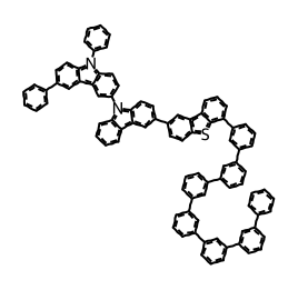 c1ccc(-c2cccc(-c3cccc(-c4cccc(-c5cccc(-c6cccc(-c7cccc(-c8cccc9c8sc8ccc(-c%10ccc%11c(c%10)c%10ccccc%10n%11-c%10ccc%11c(c%10)c%10cc(-c%12ccccc%12)ccc%10n%11-c%10ccccc%10)cc89)c7)c6)c5)c4)c3)c2)cc1